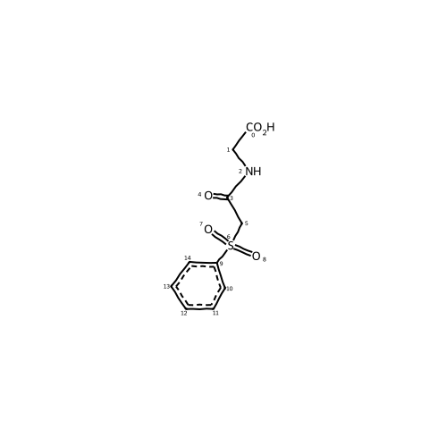 O=C(O)CNC(=O)CS(=O)(=O)c1ccccc1